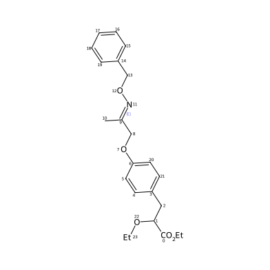 CCOC(=O)C(Cc1ccc(OC/C(C)=N/OCc2ccccc2)cc1)OCC